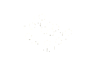 N#Cc1cccc(-c2cc(N(c3ccccc3)c3ccc4ccc5c(N(c6ccccc6)c6cc(-c7cccc(C#N)c7)c(F)cc6F)ccc6ccc3c4c65)c(F)cc2F)c1